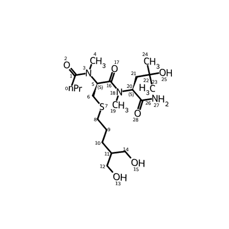 CCCC(=O)N(C)[C@H](CSCCCC(CO)CO)C(=O)N(C)[C@@H](CC(C)(C)O)C(N)=O